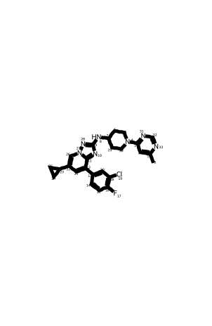 Cc1cc(N2CCC(Nc3nc4c(-c5ccc(F)c(Cl)c5)cc(C5CC5)cn4n3)CC2)ncn1